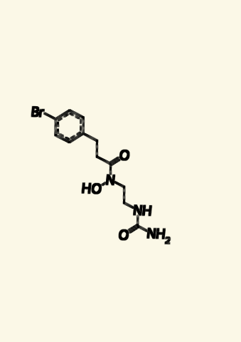 NC(=O)NCCN(O)C(=O)CCc1ccc(Br)cc1